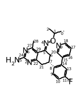 [CH2]C(C)O/N=C1\C[C@H](c2ccc(F)cc2-c2cccnc2)Cc2nc(N)nc(C)c21